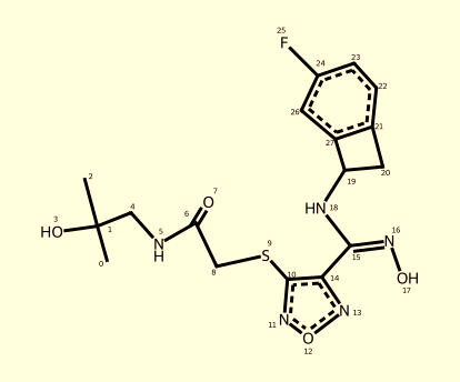 CC(C)(O)CNC(=O)CSc1nonc1/C(=N\O)NC1Cc2ccc(F)cc21